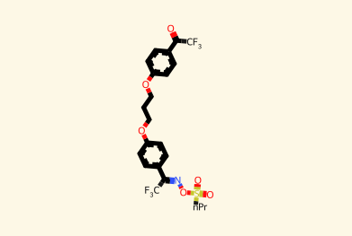 CCCS(=O)(=O)ON=C(c1ccc(OCCCOc2ccc(C(=O)C(F)(F)F)cc2)cc1)C(F)(F)F